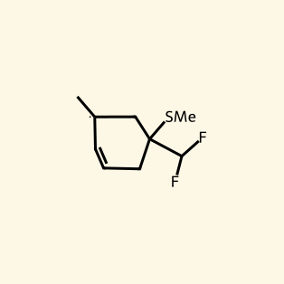 CSC1(C(F)F)CC=C[C](C)C1